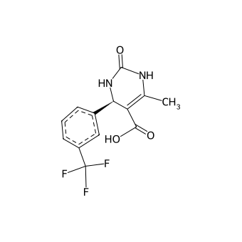 CC1=C(C(=O)O)[C@@H](c2cccc(C(F)(F)F)c2)NC(=O)N1